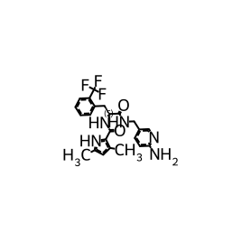 Cc1cc(C)c(C(=O)N[C@@H](Cc2ccccc2C(F)(F)F)C(=O)NCc2ccc(N)nc2)[nH]1